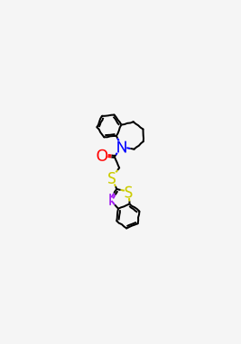 O=C(CSC1=Ic2ccccc2S1)N1CCCCc2ccccc21